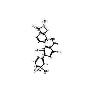 CCN1Cc2c(ccnc2NC(C)c2cc(F)c(-c3ccc(OC)c(C(C)(C)C)n3)cc2F)C1=O